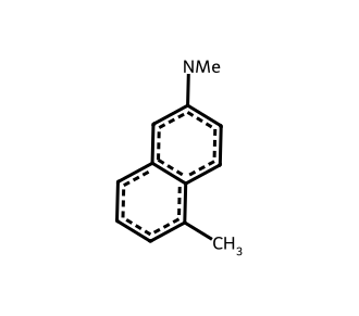 CNc1ccc2c(C)cccc2c1